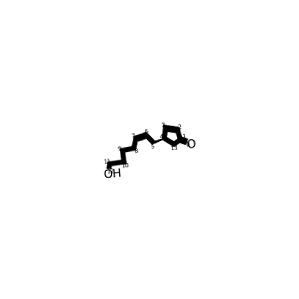 O=C1C=C[C@H](C/C=C\CCCCO)C1